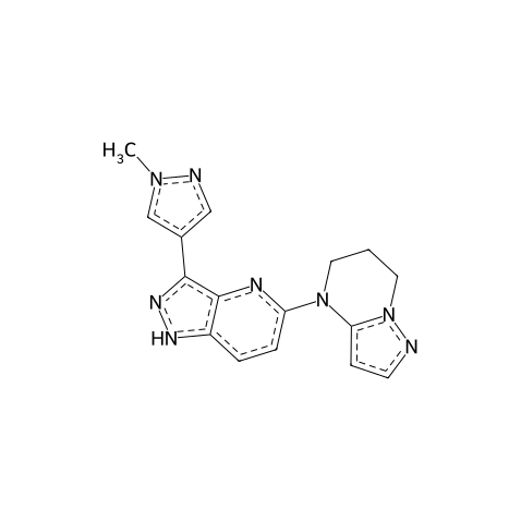 Cn1cc(-c2n[nH]c3ccc(N4CCCn5nccc54)nc23)cn1